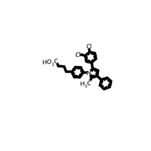 Cc1c(-c2ccccc2)cc(-c2ccc(Cl)c(Cl)c2)n1-c1ccc(CCCC(=O)O)cc1